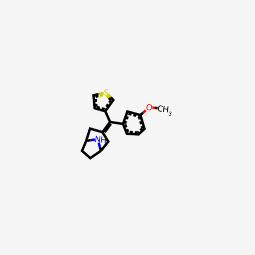 COc1cccc(C(=C2CC3CCC(C2)N3)c2ccsc2)c1